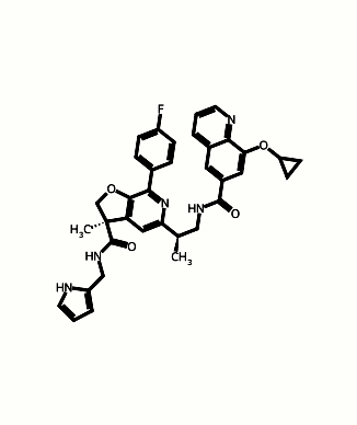 C[C@H](CNC(=O)c1cc(OC2CC2)c2ncccc2c1)c1cc2c(c(-c3ccc(F)cc3)n1)OC[C@]2(C)C(=O)NCc1ccc[nH]1